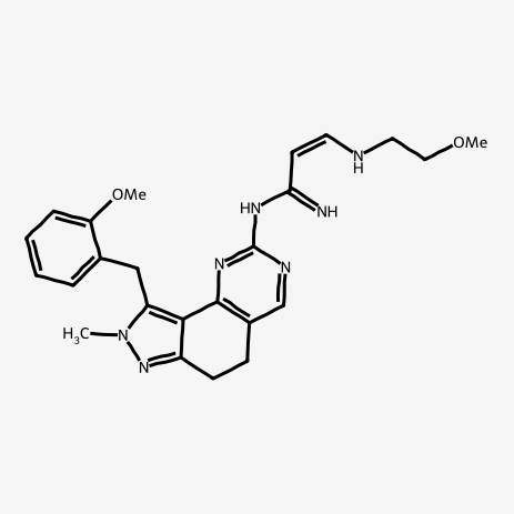 COCCN/C=C\C(=N)Nc1ncc2c(n1)-c1c(nn(C)c1Cc1ccccc1OC)CC2